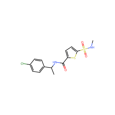 CNS(=O)(=O)c1ccc(C(=O)NC(C)c2ccc(Cl)cc2)s1